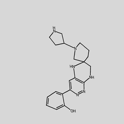 Oc1ccccc1-c1cc2c(nn1)NCC1(CCCN(C3CCNC3)C1)N2